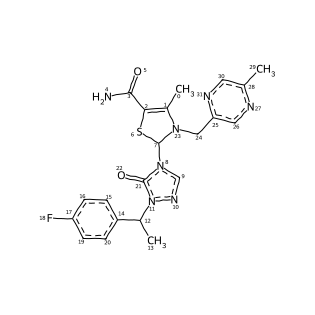 CC1=C(C(N)=O)SC(n2cnn(C(C)c3ccc(F)cc3)c2=O)N1Cc1cnc(C)cn1